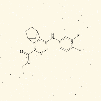 CCOC(=O)c1ncc(Nc2ccc(F)c(F)c2)c2c1C1CCC2C1